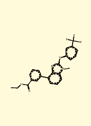 CCOC(=O)c1cccc(-c2cccc3c2nc(Sc2cccc(C(F)(F)F)c2)n3C)c1